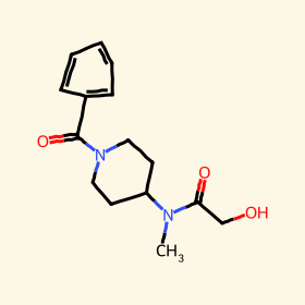 CN(C(=O)CO)C1CCN(C(=O)c2ccccc2)CC1